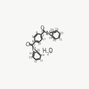 O.O=C(c1ccc(C(=O)N2c3ccccc32)cc1)N1c2ccccc21